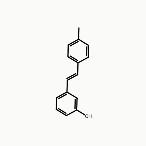 Cc1ccc(/C=C/c2cccc(O)c2)cc1